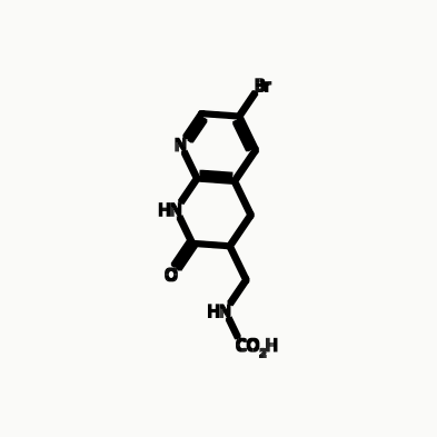 O=C(O)NCC1Cc2cc(Br)cnc2NC1=O